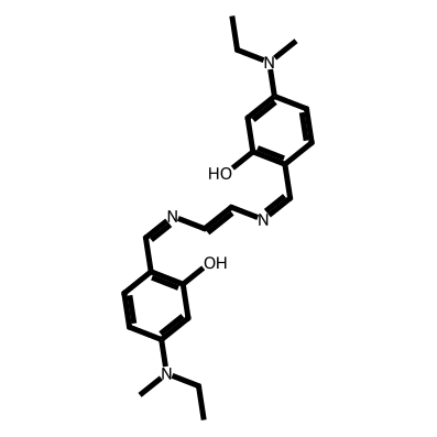 CCN(C)c1ccc(\C=N/C=C/N=C\c2ccc(N(C)CC)cc2O)c(O)c1